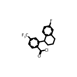 O=C(Cl)c1ccc(C(F)(F)F)cc1C1CCCc2cc(F)ccc21